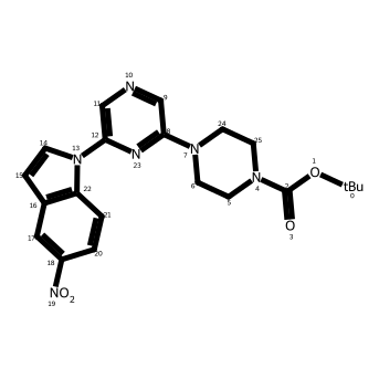 CC(C)(C)OC(=O)N1CCN(c2cncc(-n3ccc4cc([N+](=O)[O-])ccc43)n2)CC1